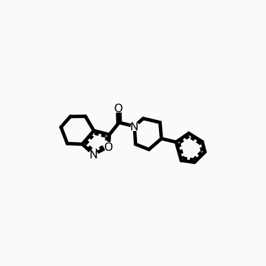 O=C(c1onc2c1CCCC2)N1CCC(c2ccccc2)CC1